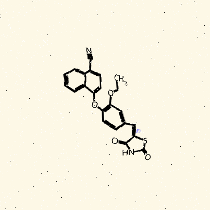 CCOc1cc(/C=C2/SC(=O)NC2=O)ccc1Oc1ccc(C#N)c2ccccc12